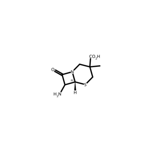 CC1(C(=O)O)CS[C@@H]2C(N)C(=O)N2C1